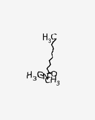 CCCCCCCCCC(=O)N(C)C